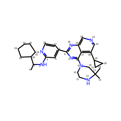 CC(Nc1cc(-c2nc(N3CCNC(C)(C)C3)c3c(C4CC4)cncc3n2)ccn1)C1CCCCC1